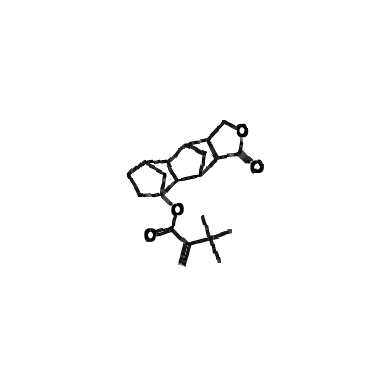 C=C(C(=O)OC12CCC(C1)C1C3CC(C4C(=O)OCC34)C12)C(C)(C)C